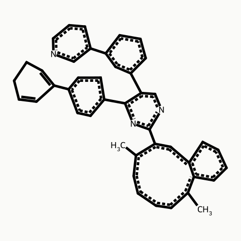 Cc1ccccc(C)c2ccccc2cc1-c1ncc(-c2cccc(-c3cccnc3)c2)c(-c2ccc(C3=CCCC=C3)cc2)n1